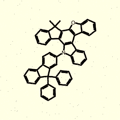 CC1(C)c2ccccc2-c2c1c1oc3ccccc3c1c1c3ccccc3n(-c3ccc4c(c3)C(c3ccccc3)(c3ccccc3)c3ccccc3-4)c21